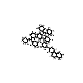 c1ccc(-n2c3ccccc3c3c(N(c4ccc(-c5ccc6c(ccc7ccccc76)c5)cc4)c4cccc([Si](c5ccccc5)(c5ccccc5)c5ccccc5)c4)cccc32)cc1